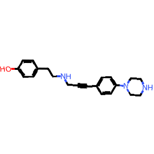 Oc1ccc(CCNCC#Cc2ccc(N3CCNCC3)cc2)cc1